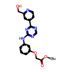 CC(C)(C)OC(=O)COc1cccc(Nc2ncnc(-c3ccnc(CO)c3)n2)c1